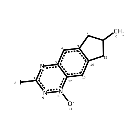 CC1Cc2cc3nc(I)n[n+]([O-])c3cc2C1